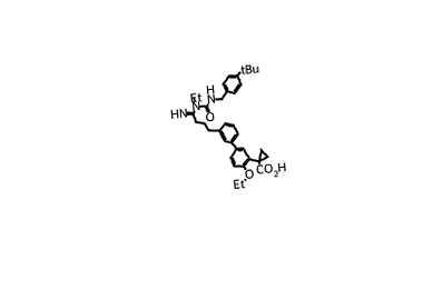 CCOc1ccc(-c2cccc(CCCC(=N)N(CC)C(=O)NCc3ccc(C(C)(C)C)cc3)c2)cc1C1(C(=O)O)CC1